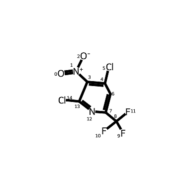 O=[N+]([O-])c1c(Cl)cc(C(F)(F)F)nc1Cl